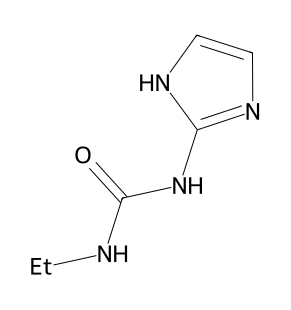 CCNC(=O)Nc1ncc[nH]1